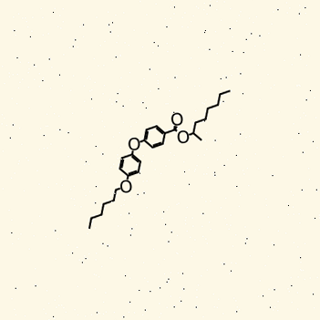 CCCCCCOc1ccc(Oc2ccc(C(=O)OC(C)CCCCCC)cc2)cc1